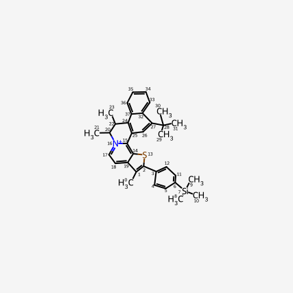 Cc1c(-c2ccc([Si](C)(C)C)cc2)sc2c3[n+](ccc12)C(C)C(C)c1c-3cc(C(C)(C)C)c2ccccc12